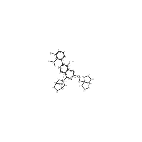 CC(C)c1c(F)cccc1-c1ncc2c(N3CC4CCC(C3)N4)nc(OCC34CCCN3CCC4)nc2c1F